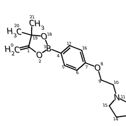 C=C1OB(c2ccc(OCCN3CCCC3)cc2)OC1(C)C